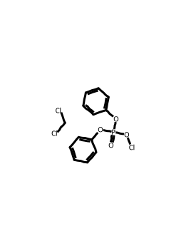 ClCCl.O=P(OCl)(Oc1ccccc1)Oc1ccccc1